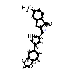 Cc1ccc2c(c1)C/C(=C\c1cc(-c3ccc4c(c3)OCO4)n[nH]1)C2=O